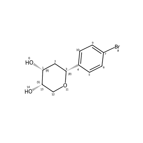 O[C@@H]1C[C@H](c2ccc(Br)cc2)OC[C@@H]1O